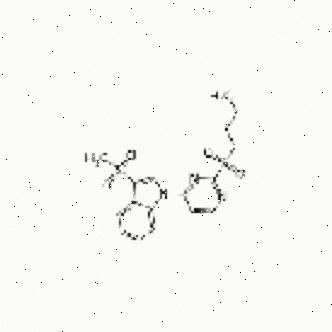 CCCCS(=O)(=O)c1nccc(-n2cc(S(C)(=O)=O)c3ccccc32)n1